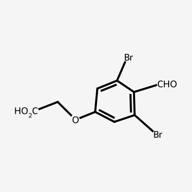 O=Cc1c(Br)cc(OCC(=O)O)cc1Br